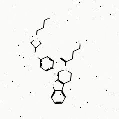 C=C(CCCO)N1CCc2c([nH]c3ccccc23)[C@H]1c1ccc(OC2CN(CCCF)C2)cc1